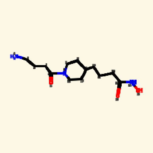 NCCCC(=O)N1CCC(CCCC(=O)NO)CC1